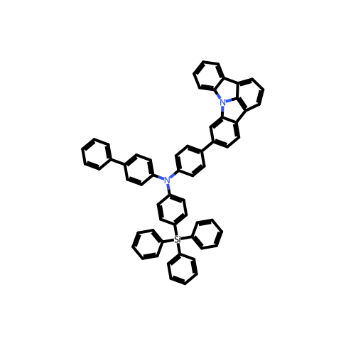 c1ccc(-c2ccc(N(c3ccc(-c4ccc5c6cccc7c8ccccc8n(c5c4)c76)cc3)c3ccc([Si](c4ccccc4)(c4ccccc4)c4ccccc4)cc3)cc2)cc1